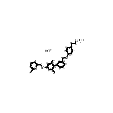 Cc1cccc(COc2cc(C)c(-c3cccc(COc4ccc(CCC(=O)O)cc4)c3)c(C)c2)n1.Cl